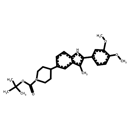 COc1ccc(-c2[nH]c3ccc(C4CCN(C(=O)OC(C)(C)C)CC4)cc3c2C)cc1OC